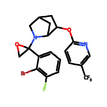 Fc1cccc(C2(N3CC4CC(Oc5ccc(C(F)(F)F)cn5)C3C4)CO2)c1Br